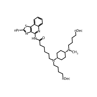 CCCCCCCCCCCCCCN(C)[C@H]1CC[C@@H](N(CCCCCCCCCCCCCC)CCCCCC(=O)Nc2nc3ccccc3c3sc(CCC)nc23)CC1